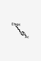 CCNCCCCCN1CCN(CC(C)=O)CC1